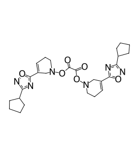 O=C(ON1CCC=C(c2nc(C3CCCC3)no2)C1)C(=O)ON1CCC=C(c2nc(C3CCCC3)no2)C1